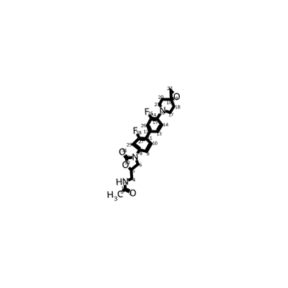 CC(=O)NCC1CN(c2ccc(-c3ccc(N4CCC5(CC4)CO5)c(F)c3)c(F)c2)C(=O)O1